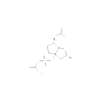 CC(C)O[C@@H]1CCC2(OP(=O)(O)OC(C)C)C[C@H](C)OC12